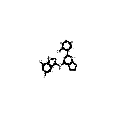 Fc1cc(F)c2[nH]nc(Nc3nc(-c4ccccc4Cl)nc4c3CCC4)c2c1